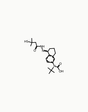 CC(C)(S)CC(=O)NN=C1CCCc2cc(N(C(=O)O)C(C)(C)C)ccc21